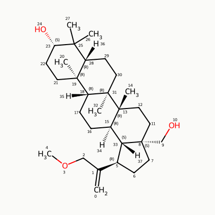 C=C(COC)[C@@H]1CC[C@]2(CO)CC[C@]3(C)[C@H](CC[C@@H]4[C@@]5(C)CC[C@H](O)C(C)(C)[C@@H]5CC[C@]43C)[C@@H]12